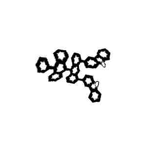 c1ccc(-c2c3ccccc3c(-c3c4cccc(-c5ccc6oc7ccccc7c6c5)c4cc4c(-c5ccc6oc7ccccc7c6c5)cccc34)c3ccccc23)cc1